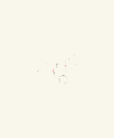 CNCCN(CC=O)c1nc2ccccc2n(C2CC3CCC(C2)N3C2CCCCCCC2)c1=O